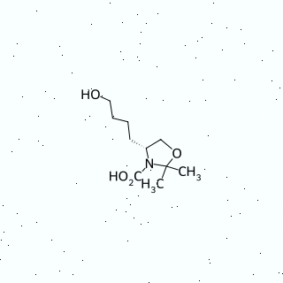 CC1(C)OC[C@@H](CCCCO)N1C(=O)O